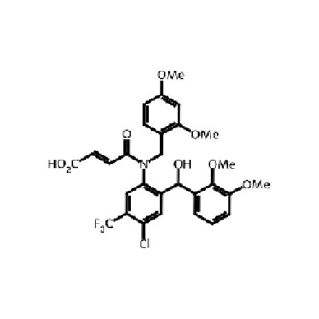 COc1ccc(CN(C(=O)/C=C/C(=O)O)c2cc(C(F)(F)F)c(Cl)cc2C(O)c2cccc(OC)c2OC)c(OC)c1